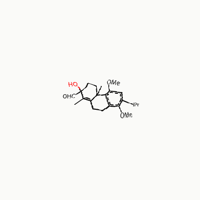 COc1cc(C(C)C)c(OC)c2c1C1(C)CCC(O)(C=O)C(C)=C1CC2